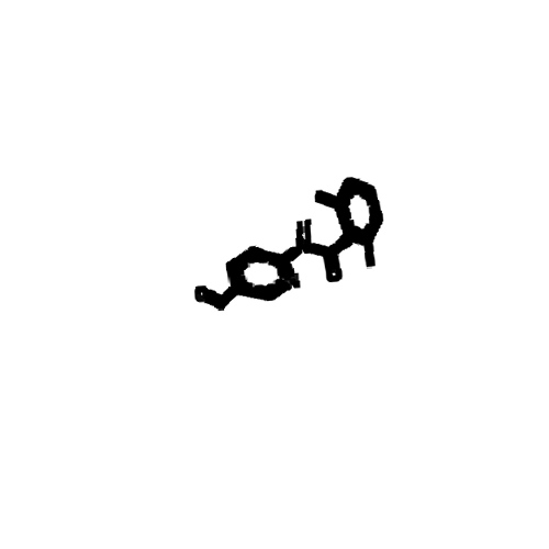 Cc1cccc(C)c1C(=O)Nc1ccc([C]=O)cn1